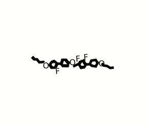 C=CCCCOc1ccc(-c2ccc(OCc3ccc(C4CCC(OCCCC)CC4)c(F)c3F)cc2)c(F)c1